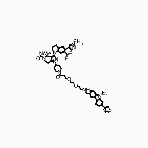 CCn1c2ccc(CNCCOCCOCCC(=O)N3CCC(n4nc(N5CCCc6cc(-c7cnn(C)c7)c(C(F)F)cc65)c5c4CCN(C(=O)NC)C5)CC3)cc2c2ccc(-c3cscn3)cc21